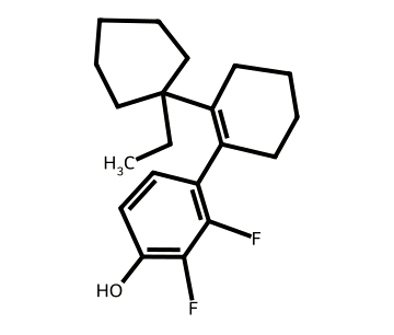 CCC1(C2=C(c3ccc(O)c(F)c3F)CCCC2)CCCCC1